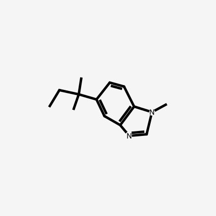 CCC(C)(C)c1ccc2c(c1)ncn2C